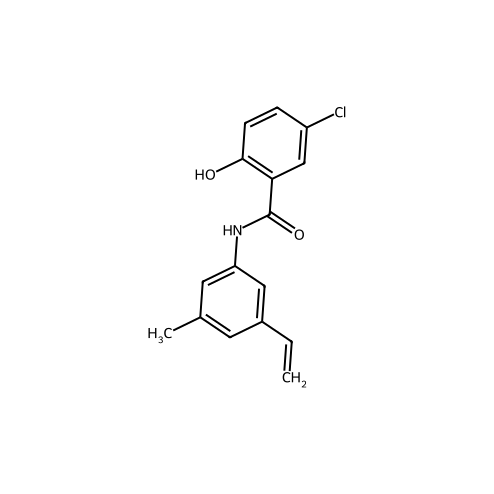 C=Cc1cc(C)cc(NC(=O)c2cc(Cl)ccc2O)c1